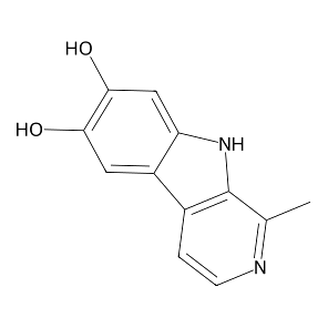 Cc1nccc2c1[nH]c1cc(O)c(O)cc12